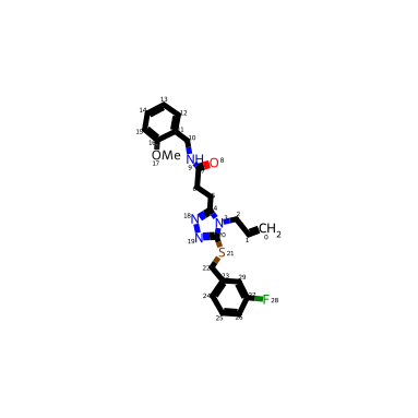 C=CCn1c(CCC(=O)NCc2ccccc2OC)nnc1SCc1cccc(F)c1